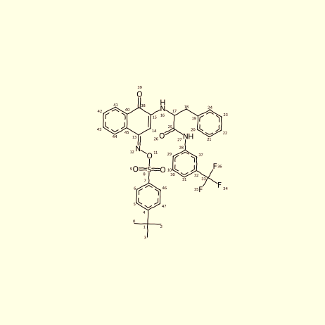 CC(C)(C)c1ccc(S(=O)(=O)ON=C2C=C(NC(Cc3ccccc3)C(=O)Nc3cccc(C(F)(F)F)c3)C(=O)c3ccccc32)cc1